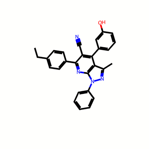 CCc1ccc(-c2nc3c(c(C)nn3-c3ccccc3)c(-c3cccc(O)c3)c2C#N)cc1